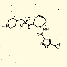 C[C@@H](C1CCN(C)CC1)S(=O)(=O)N[C@H]1CC=CC[C@H](NC(=O)c2cc(C3CC3)on2)C1